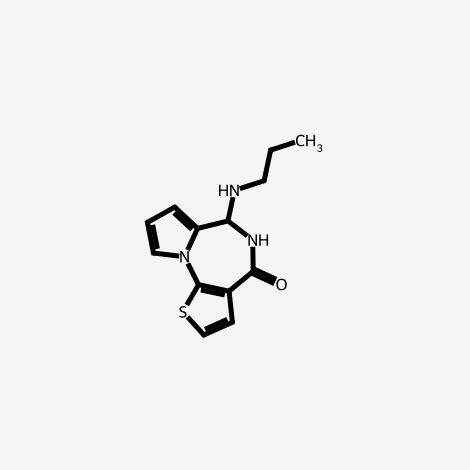 CCCNC1NC(=O)c2ccsc2-n2cccc21